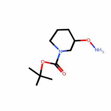 CC(C)(C)OC(=O)N1CCCC(ON)C1